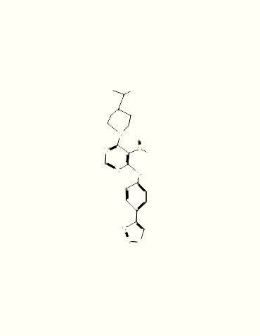 [CH2]C(C)C1CCN(c2ncnc(Nc3ccc(-c4csnn4)cc3)c2[N+](=O)[O-])CC1